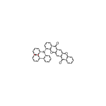 O=c1c2ccccc2oc2cc3c(=O)c4cccc(N(c5ccccc5)c5ccccc5-c5ccccc5)c4oc3cc12